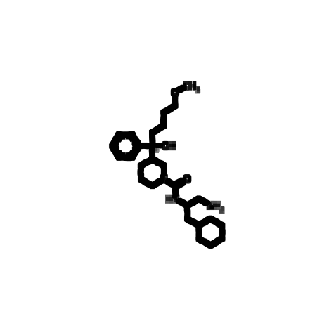 COCCCC[C@@](O)(c1ccccc1)C1CCCN(C(=O)NC(CN)CC2CCCCC2)C1